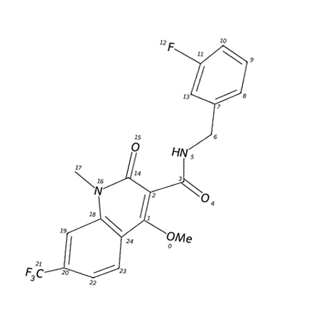 COc1c(C(=O)NCc2cccc(F)c2)c(=O)n(C)c2cc(C(F)(F)F)ccc12